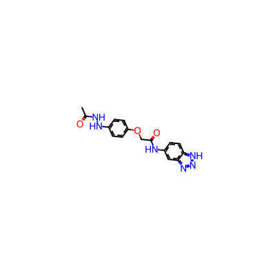 CC(=O)NNc1ccc(OCC(=O)Nc2ccc3[nH]nnc3c2)cc1